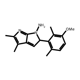 COc1ccc(C)c(C2C=C3C(=NC(C)=C3C)N2N)c1C